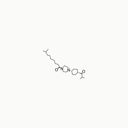 CC(C)CCCCCCC(=O)N1CCN([C@H]2CC[C@H](C(=O)C(C)C)CC2)CC1